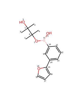 CC(C)(O)C(C)(C)OB(O)c1cccc(-c2ccco2)c1